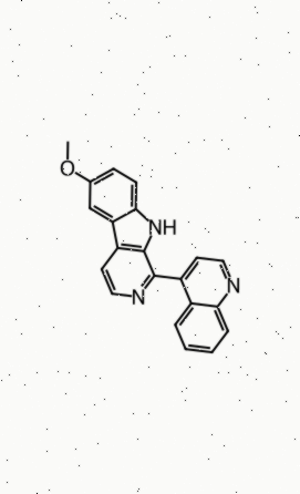 COc1ccc2[nH]c3c(-c4ccnc5ccccc45)nccc3c2c1